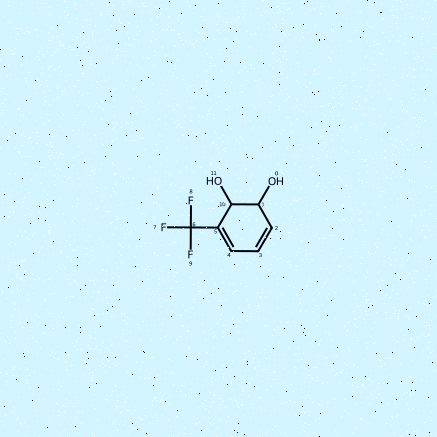 OC1C=CC=C(C(F)(F)F)C1O